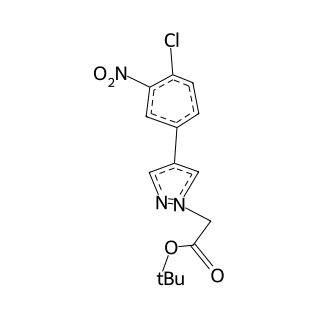 CC(C)(C)OC(=O)Cn1cc(-c2ccc(Cl)c([N+](=O)[O-])c2)cn1